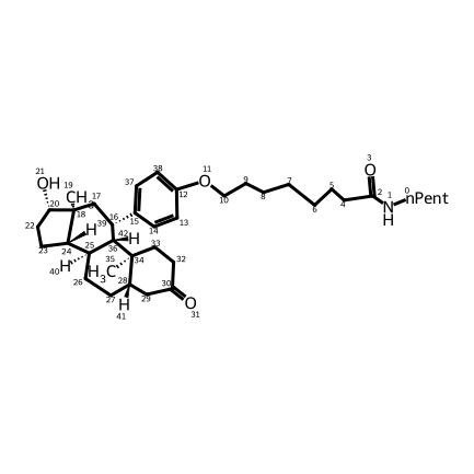 CCCCCNC(=O)CCCCCCCOc1ccc([C@H]2C[C@]3(C)[C@@H](O)CC[C@H]3[C@@H]3CC[C@H]4CC(=O)CC[C@]4(C)[C@H]32)cc1